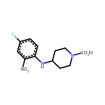 CCOC(=O)N1CCC(Nc2ccc(F)cc2[N+](=O)[O-])CC1